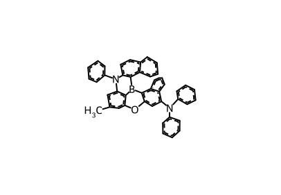 Cc1cc2c3c(c1)N(c1ccccc1)c1ccc4ccccc4c1B3c1c(cc(N(c3ccccc3)c3ccccc3)c3ccccc13)O2